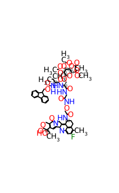 CC[C@@]1(O)C(=O)OCc2c1cc1n(c2=O)Cc2c-1nc1cc(F)c(C)c3c1c2[C@@H](NC(=O)COCNC(=O)CNC(=O)[C@H](CO[C@@H]1O[C@H](C(=O)OC)[C@@H](OC(C)=O)[C@H](OC(C)=O)[C@H]1OC(C)=O)NC(=O)[C@@H](NC(=O)OCC1c2ccccc2-c2ccccc21)C(C)C)CC3